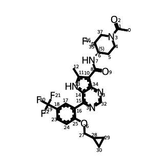 CC(=O)N1CC[C@H](NC(=O)c2c(C)[nH]c3c(-c4cc(C(F)(F)F)ccc4OCC4CC4)ncnc23)[C@H](F)C1